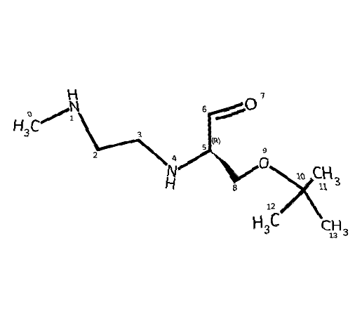 CNCCN[C@@H](C=O)COC(C)(C)C